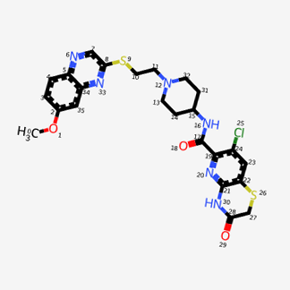 COc1ccc2ncc(SCCN3CCC(NC(=O)c4nc5c(cc4Cl)SCC(=O)N5)CC3)nc2c1